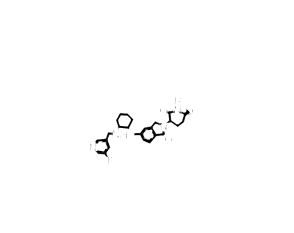 O=C1CCC(N2Cc3cc(C[C@H]4CCCC[C@@H]4NCc4cncc(F)c4)ccc3C2=O)C(=O)N1